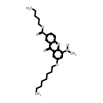 CCCCCCCCOc1cc([S+](C)[O-])c2oc3ccc(C(=O)OCCCCC)cc3c(=O)c2c1